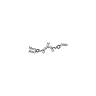 COc1ccc(/C=C/C(=O)OCC(O)COC(=O)/C=C/c2ccc(OC)c(OC)c2)cc1